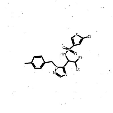 CCC(CC)C(NS(=O)(=O)c1csc(Cl)c1)c1ncnn1Cc1ccc(C)cc1